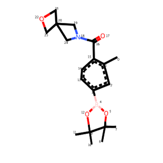 Cc1cc(B2OC(C)(C)C(C)(C)O2)ccc1C(=O)N1CC2(COC2)C1